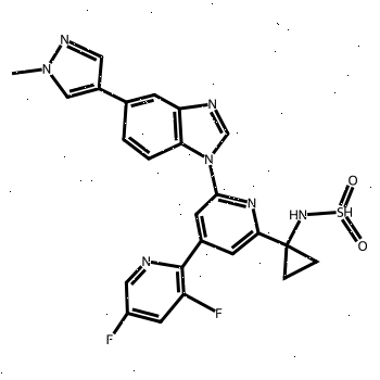 Cn1cc(-c2ccc3c(c2)ncn3-c2cc(-c3ncc(F)cc3F)cc(C3(N[SH](=O)=O)CC3)n2)cn1